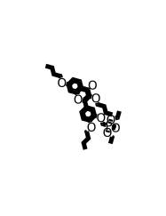 CCCCOc1ccc2c(=O)c(OCCCC)c(-c3ccc(OCCCC)c(OCP(=O)(OCC)OCC)c3)oc2c1